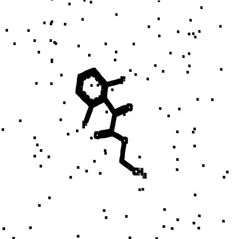 CCOC(=O)C(=O)c1c(F)cccc1F